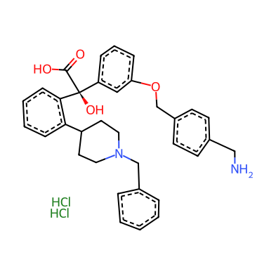 Cl.Cl.NCc1ccc(COc2cccc([C@@](O)(C(=O)O)c3ccccc3C3CCN(Cc4ccccc4)CC3)c2)cc1